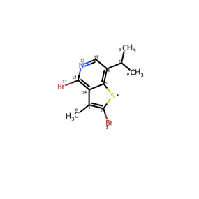 Cc1c(Br)sc2c(C(C)C)cnc(Br)c12